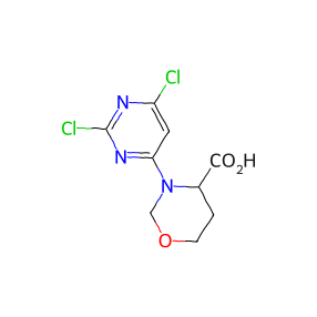 O=C(O)C1CCOCN1c1cc(Cl)nc(Cl)n1